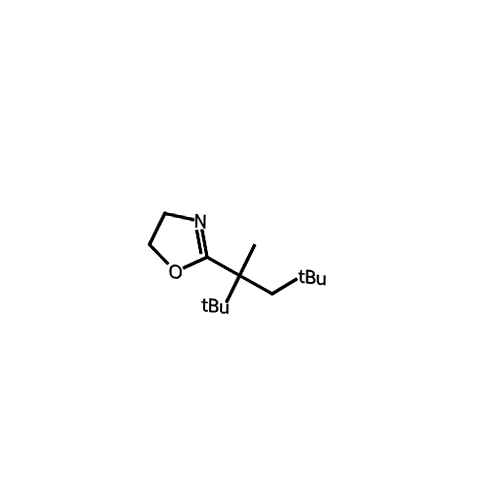 CC(C)(C)CC(C)(C1=NCCO1)C(C)(C)C